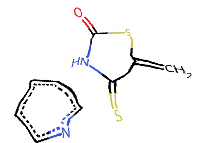 C=C1SC(=O)NC1=S.c1ccncc1